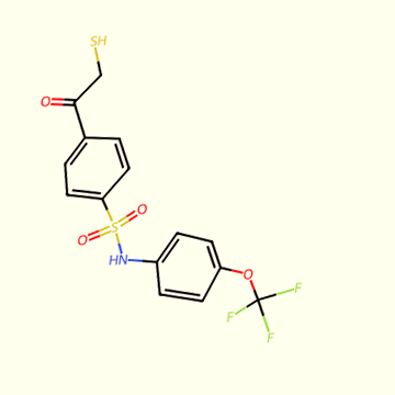 O=C(CS)c1ccc(S(=O)(=O)Nc2ccc(OC(F)(F)F)cc2)cc1